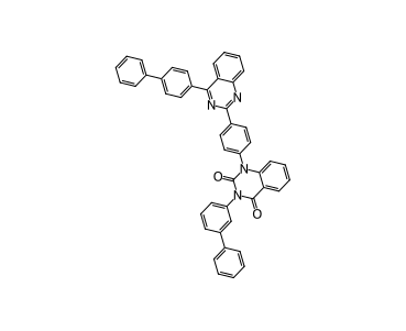 O=c1c2ccccc2n(-c2ccc(-c3nc(-c4ccc(-c5ccccc5)cc4)c4ccccc4n3)cc2)c(=O)n1-c1cccc(-c2ccccc2)c1